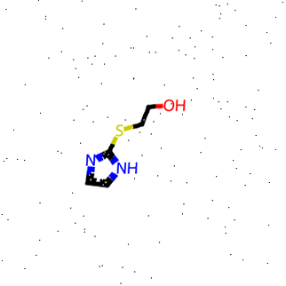 OCCSc1ncc[nH]1